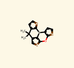 CC1(C)c2ccsc2B2c3ccsc3Oc3scc1c32